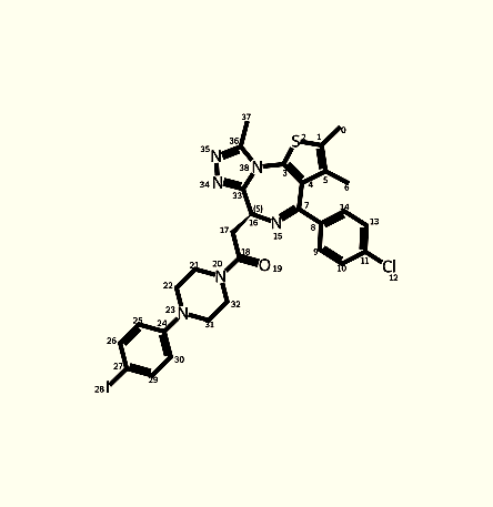 Cc1sc2c(c1C)C(c1ccc(Cl)cc1)=N[C@@H](CC(=O)N1CCN(c3ccc(I)cc3)CC1)c1nnc(C)n1-2